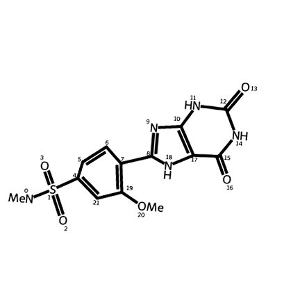 CNS(=O)(=O)c1ccc(-c2nc3[nH]c(=O)[nH]c(=O)c3[nH]2)c(OC)c1